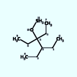 CCC(CC)C(CC)(CC)O[SiH3]